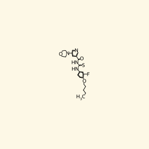 CCCCCOc1ccc(NC(=S)NC(=O)c2cncc(N3CCOCC3)c2)cc1F